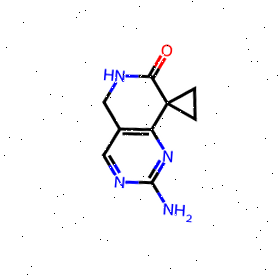 Nc1ncc2c(n1)C1(CC1)C(=O)NC2